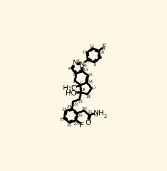 CC12Cc3cnn(-c4ccc(F)cc4)c3C=C1CCC2(O)CCc1cccc(F)c1CC(N)=O